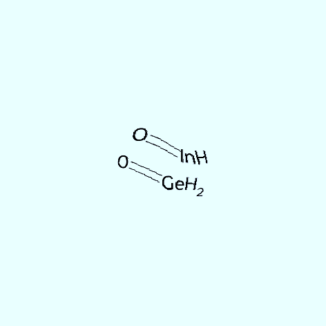 [O]=[GeH2].[O]=[InH]